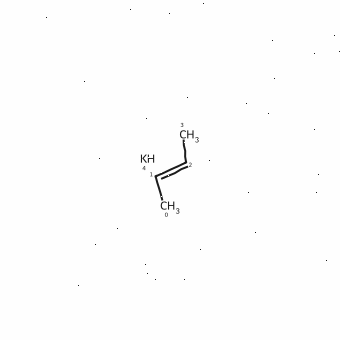 CC=CC.[KH]